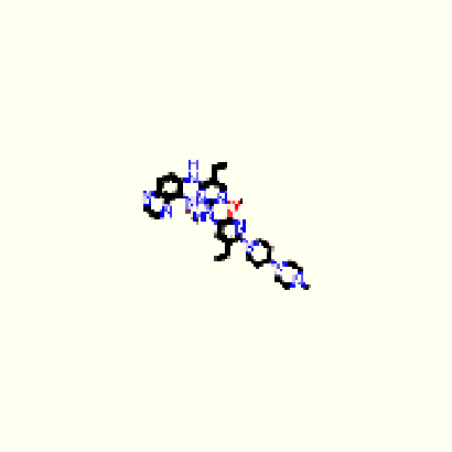 C=Cc1cnc(Nc2cc(CC)c(N3CCC(N4CCN(C)CC4)CC3)nc2OC)nc1Nc1ccc2nccnc2c1NSC